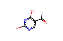 O=C(I)c1cnc(O)nc1O